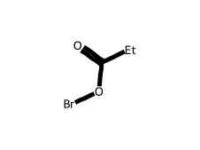 CCC(=O)OBr